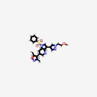 COCCn1cc(-c2cn(S(=O)(=O)c3ccccc3)c3cc(-c4c(C)noc4C)cnc23)cn1